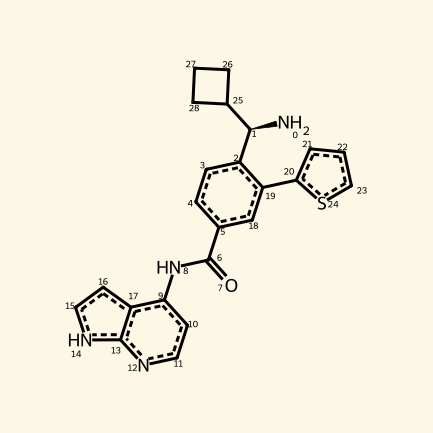 N[C@@H](c1ccc(C(=O)Nc2ccnc3[nH]ccc23)cc1-c1cccs1)C1CCC1